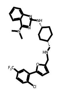 CN(C)c1nc(N[C@H]2CC[C@@H](CNCc3ccc(-c4cc(C(F)(F)F)ccc4Cl)o3)CC2)nc2ccccc12